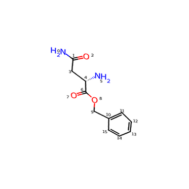 NC(=O)C[C@H](N)C(=O)OCc1ccccc1